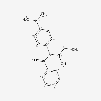 CCN(O)C(C(=O)c1ccccc1)c1ccc(N(C)C)cc1